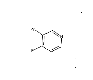 CC(C)c1cnccc1F